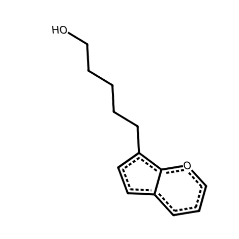 OCCCCCc1ccc2cccoc1-2